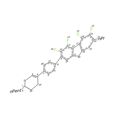 CCCCCC1CC=C(c2ccc(-c3cc4c(c(F)c3F)-c3c(cc(CCC)c(F)c3F)C4)cc2)CC1